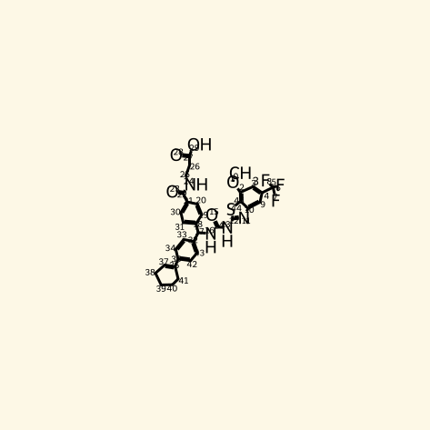 COc1cc(C(F)(F)F)cc2nc(NC(=O)NC(c3ccc(C(=O)NCCC(=O)O)cc3)c3ccc(C4=CCCCC4)cc3)sc12